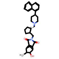 CC1C(O)C2CC1C1C(=O)N(CC3CCC[C@@H]3CN3CCC(c4cccc5ccccc45)CC3)C(=O)C21